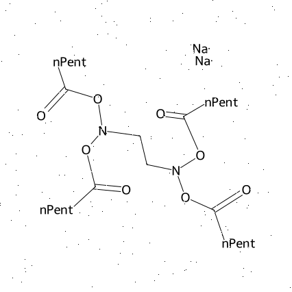 CCCCCC(=O)ON(CCN(OC(=O)CCCCC)OC(=O)CCCCC)OC(=O)CCCCC.[Na].[Na]